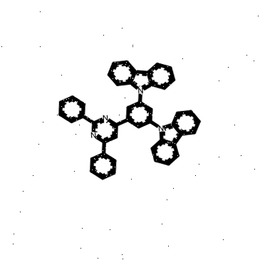 c1ccc(-c2cc(-c3cc(-n4c5ccccc5c5ccccc54)cc(-n4c5ccccc5c5ccccc54)c3)nc(-c3ccccc3)n2)cc1